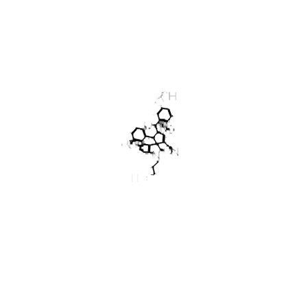 CCCCN1C(=O)C2(C(C#N)=CC3([N+](=O)[O-])C(c4cccc(OC)c4)Oc4ccc(Cl)cc4C23)c2cc(Cl)ccc21